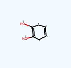 OC1=C(O)CC=CC1